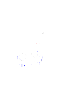 Cc1nc(N2CCCC2)c2c(-c3ccnc(N)c3)cn(COCC[Si](C)(C)C)c2n1